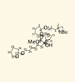 CCCCC(C)(C)C/C=C(/OC1CCCCO1)[C@@H]1CC[C@@H]([C@](O)(CCC=CCCOC2CCCCO2)C(=O)OC)C1